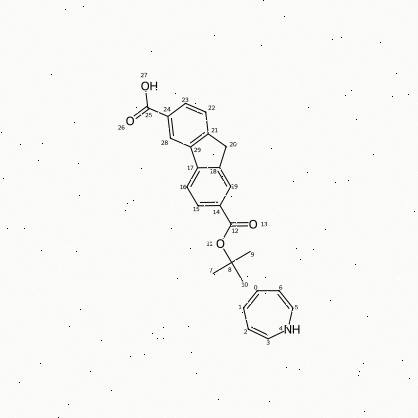 C1=CC=CNC=C1.CC(C)(C)OC(=O)c1ccc2c(c1)Cc1ccc(C(=O)O)cc1-2